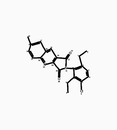 CCc1ccc(Cl)c(CC)c1N1C(=O)c2cc3cc(C)ccc3nc2C1=O